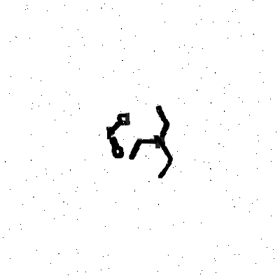 CCN(CC)CC.O=PCl